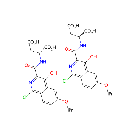 CC(C)Oc1ccc2c(Cl)nc(C(=O)N[C@@H](CC(=O)O)C(=O)O)c(O)c2c1.CC(C)Oc1ccc2c(Cl)nc(C(=O)N[C@H](CC(=O)O)C(=O)O)c(O)c2c1